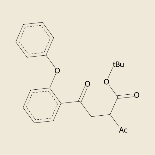 CC(=O)C(CC(=O)c1ccccc1Oc1ccccc1)C(=O)OC(C)(C)C